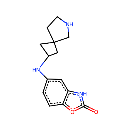 O=c1[nH]c2cc(NC3CC4(CCNC4)C3)ccc2o1